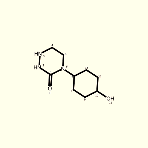 O=C1NNCCN1C1CCC(O)CC1